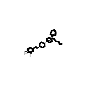 CCCCC[Si]1(c2ccccc2)CCC([C@H]2CC[C@H](C=Cc3ccc(F)c(F)c3)CC2)CC1